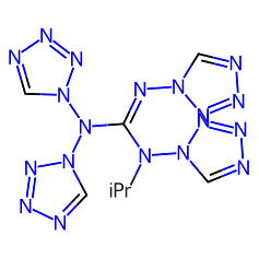 CC(C)N(C(=Nn1cnnn1)N(n1cnnn1)n1cnnn1)n1cnnn1